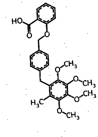 COc1c(C)c(Cc2ccc(COc3ccccc3C(=O)O)cc2)c(OC)c(OC)c1OC